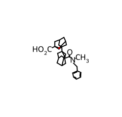 CN(CCc1ccccc1)C(=O)C12CC3CC(C1)CC(C14CC5CC(CC(C(=O)O)(C5)C1)C4)(C3)C2